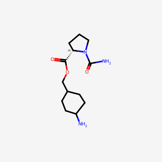 NC(=O)N1CCC[C@H]1C(=O)OCC1CCC(N)CC1